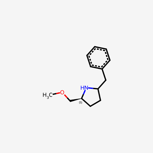 COC[C@@H]1CCC(Cc2ccccc2)N1